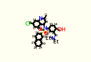 CCN(CC)Cc1cc(N(c2cc(C)nc3cc(Cl)ccc23)S(=O)(=O)c2ccc3ccccc3c2)ccc1O